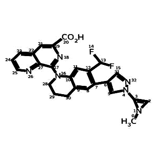 CN1C=C1n1cc(-c2cc3c(cc2C(F)F)N(c2nc(C(=O)O)cc4cccnc24)CCC3)cn1